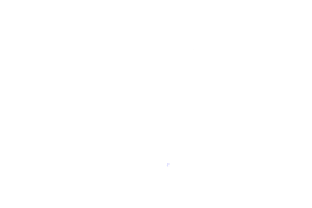 C1=C\COCCC/C=C/CCC/1